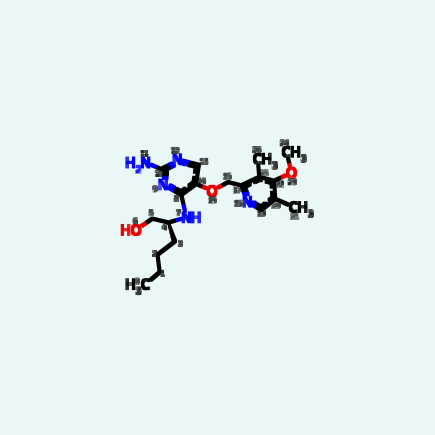 CCCC[C@@H](CO)Nc1nc(N)ncc1OCc1ncc(C)c(OC)c1C